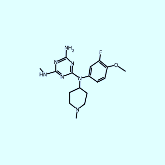 CNc1nc(N)nc(N(c2ccc(OC)c(F)c2)C2CCN(C)CC2)n1